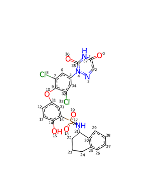 O=c1cnn(-c2cc(Cl)c(Oc3ccc(O)c(S(=O)(=O)NC4CCCc5ccccc54)c3)c(Cl)c2)c(=O)[nH]1